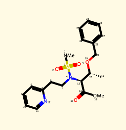 CNS(=O)(=O)N(CCc1ccccn1)[C@H](C(=O)OC)[C@@H](C)OCc1ccccc1